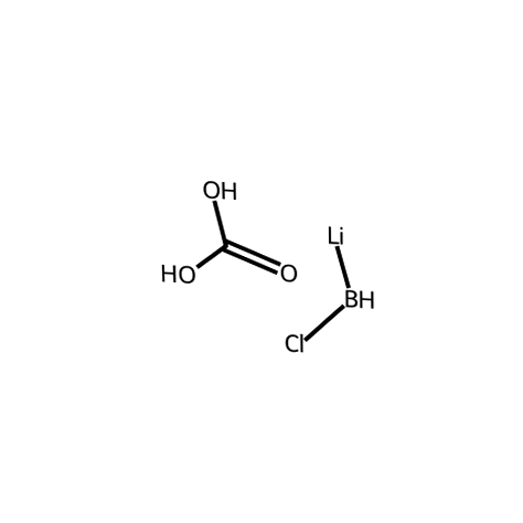 O=C(O)O.[Li][BH]Cl